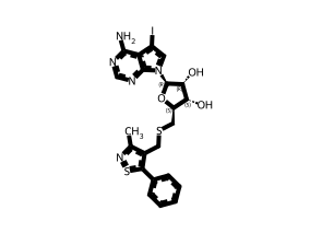 Cc1nsc(-c2ccccc2)c1CSC[C@H]1O[C@@H](n2cc(I)c3c(N)ncnc32)[C@H](O)[C@@H]1O